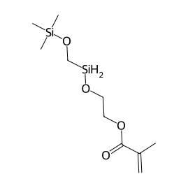 C=C(C)C(=O)OCCO[SiH2]CO[Si](C)(C)C